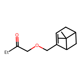 CCC(=O)COCC1=CCC2CC1C2(C)C